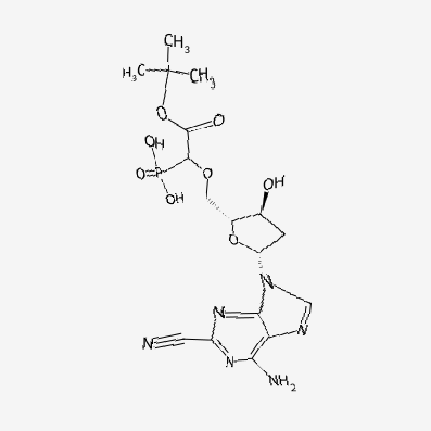 CC(C)(C)OC(=O)C(OC[C@H]1O[C@@H](n2cnc3c(N)nc(C#N)nc32)C[C@@H]1O)P(=O)(O)O